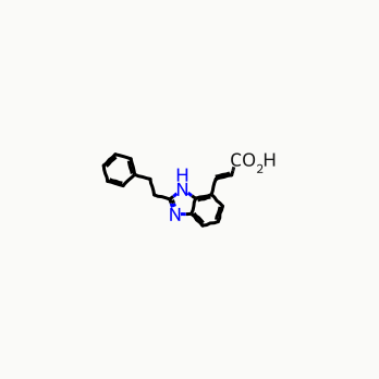 O=C(O)C=Cc1cccc2nc(CCc3ccccc3)[nH]c12